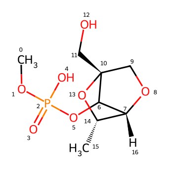 COP(=O)(O)OC1[C@@H]2OC[C@@]1(CO)O[C@H]2C